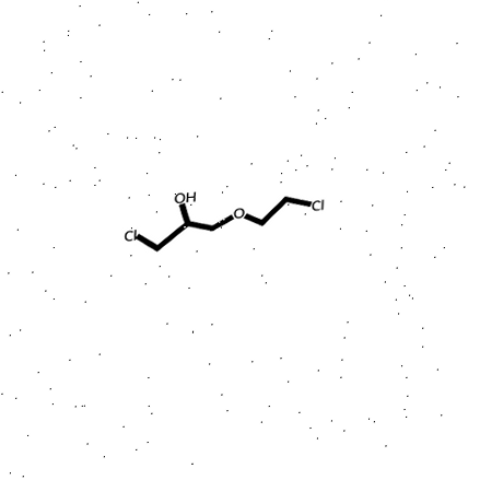 OC(CCl)COCCCl